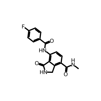 CNC(=O)c1ccc(NC(=O)c2ccc(F)cc2)c2c1CNC2=O